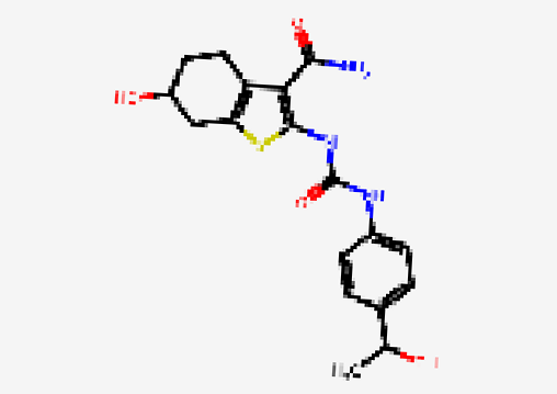 CC(O)c1ccc(NC(=O)Nc2sc3c(c2C(N)=O)CCC(O)C3)cc1